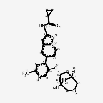 O=C(Nc1cc2cc(-c3cc(C(F)(F)F)ncc3O[C@H]3C[C@H]4COC[C@@H](C3)N4)ccn2n1)C1CC1